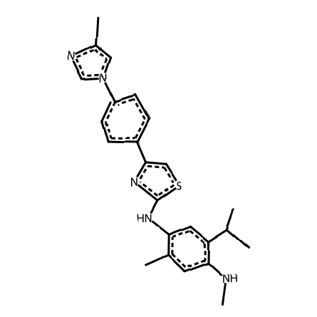 CNc1cc(C)c(Nc2nc(-c3ccc(-n4cnc(C)c4)cc3)cs2)cc1C(C)C